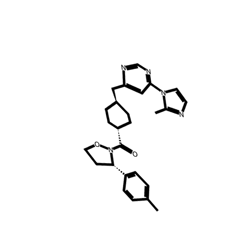 Cc1ccc([C@@H]2CCON2C(=O)[C@H]2CC[C@H](Cc3cc(-n4ccnc4C)ncn3)CC2)cc1